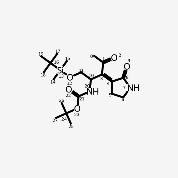 CC(=O)/C(=C1/CCNC1=O)C(CO[Si](C)(C)C(C)(C)C)NC(=O)OC(C)(C)C